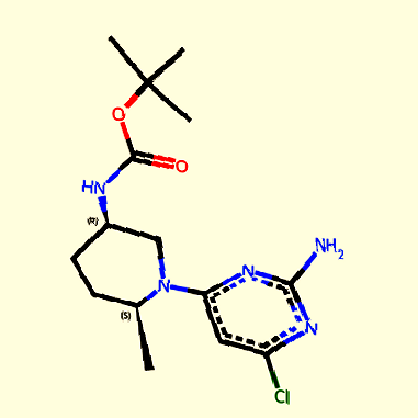 C[C@H]1CC[C@@H](NC(=O)OC(C)(C)C)CN1c1cc(Cl)nc(N)n1